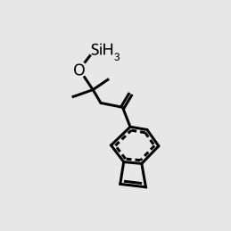 C=C(CC(C)(C)O[SiH3])c1ccc2c(c1)C=C2